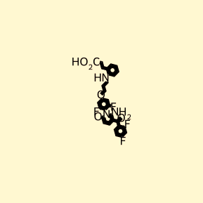 Nc1c(C(=O)c2ccc(F)cc2F)ccc(=O)n1-c1c(F)cc(OCCCNc2ccccc2CCC(=O)O)cc1F